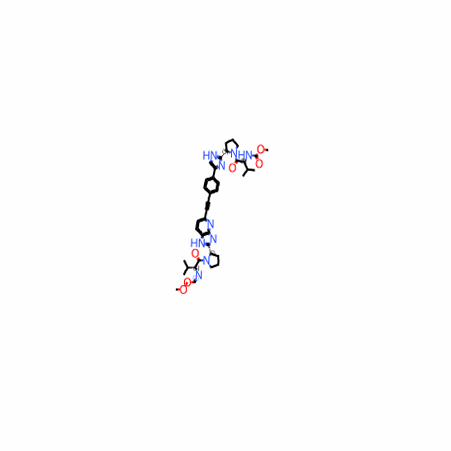 COO/C=N\[C@H](C(=O)N1CCC[C@H]1c1nc2nc(C#Cc3ccc(-c4c[nH]c([C@@H]5CCCN5C(=O)[C@@H](NC(=O)OC)C(C)C)n4)cc3)ccc2[nH]1)C(C)C